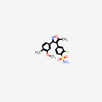 Cc1ccc(-c2noc(C)c2-c2ccc(S(N)(=O)=O)c(F)c2)cc1OC(F)(F)F